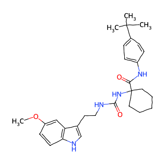 COc1ccc2[nH]cc(CCNC(=O)NC3(C(=O)Nc4ccc(C(C)(C)C)cc4)CCCCC3)c2c1